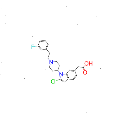 O=C(O)Cc1ccc2cc(Cl)n(C3CCN(CCc4cccc(F)c4)CC3)c2c1